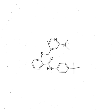 CN(C)c1cc(CSc2ccccc2C(=O)Nc2ccc(C(C)(C)C)cc2)ccn1